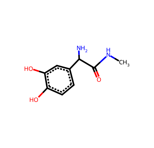 CNC(=O)C(N)c1ccc(O)c(O)c1